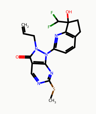 C=CCn1c(=O)c2cnc(SC)nc2n1-c1ccc2c(n1)C(O)(C(F)F)CC2